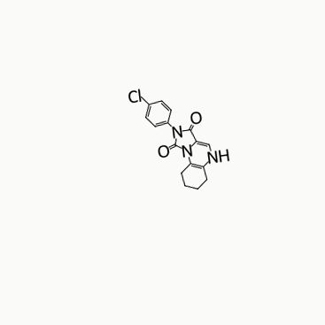 O=c1c2c[nH]c3c(n-2c(=O)n1-c1ccc(Cl)cc1)CCCC3